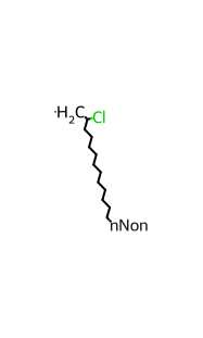 [CH2]C(Cl)CCCCCCCCCCCCCCCCCCCC